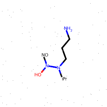 CC(C)N(CCCN)N(O)N=O